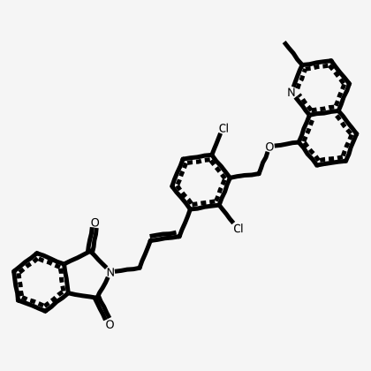 Cc1ccc2cccc(OCc3c(Cl)ccc(/C=C/CN4C(=O)c5ccccc5C4=O)c3Cl)c2n1